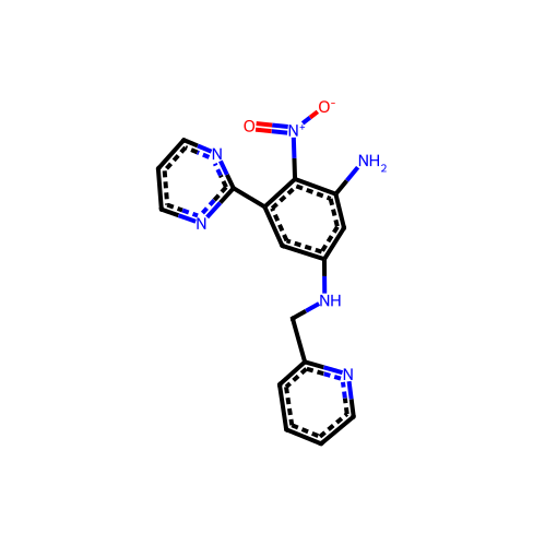 Nc1cc(NCc2ccccn2)cc(-c2ncccn2)c1[N+](=O)[O-]